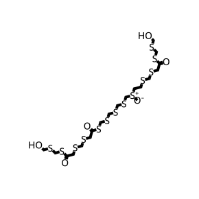 O=C(CSCSCC[S+]([O-])CSCSCSCSC(=O)CSCSCC(=O)SCSCO)SCSCO